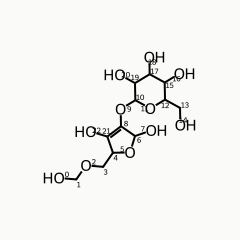 OCOCC1OC(O)C(OC2OC(CO)C(O)C(O)C2O)=C1O